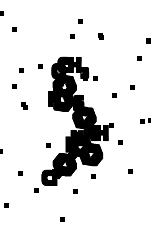 COc1ccc2c(Sc3ccc(Nc4nnc(-c5ccc(Cl)cc5)c5ccccc45)cc3)ccnc2c1